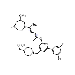 C=N/C(=N\C=C(/C)Oc1cc(CN2CCC(CC(=O)O)CC2)cc(-c2cc(Cl)cc(Cl)c2)n1)N1CCN(C)CC(OC)C1